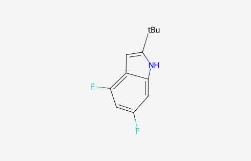 CC(C)(C)c1cc2c(F)cc(F)cc2[nH]1